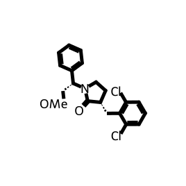 COC[C@H](c1ccccc1)N1CC[C@H](Cc2c(Cl)cccc2Cl)C1=O